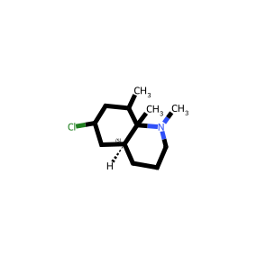 CC1CC(Cl)C[C@@H]2CCCN(C)C12C